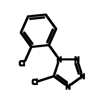 Clc1ccccc1-n1nnnc1Cl